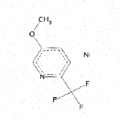 COc1ccc(C(F)(F)F)nc1.[N]